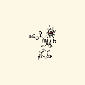 CC(C)(C)OC(=O)CN1c2ccc(cc2)OC(=O)[C@]1(C)NC(=O)Cc1cc(F)cc(F)c1